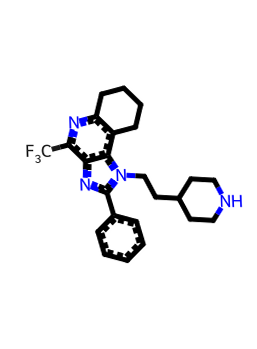 FC(F)(F)c1nc2c(c3c1nc(-c1ccccc1)n3CCC1CCNCC1)CCCC2